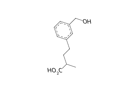 CC(CCc1cccc(CO)c1)C(=O)O